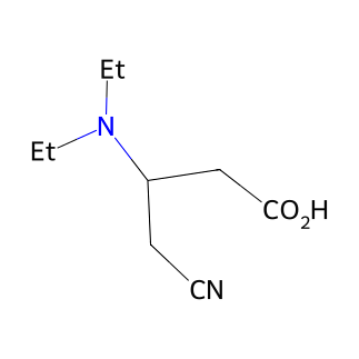 CCN(CC)C(CC#N)CC(=O)O